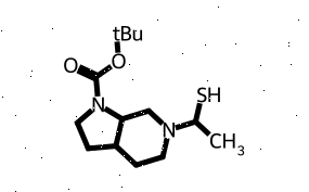 CC(S)N1CCC2CCN(C(=O)OC(C)(C)C)C2C1